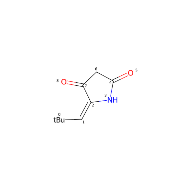 CC(C)(C)C=C1NC(=O)CC1=O